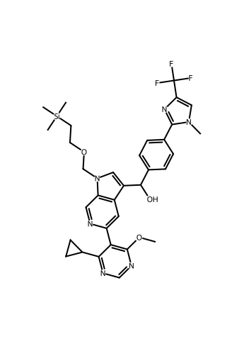 COc1ncnc(C2CC2)c1-c1cc2c(C(O)c3ccc(-c4nc(C(F)(F)F)cn4C)cc3)cn(COCC[Si](C)(C)C)c2cn1